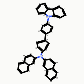 c1ccc2cc(N(c3ccc(-c4ccc(-n5c6ccccc6c6ccccc65)cc4)cc3)c3ccc4ccccc4c3)ccc2c1